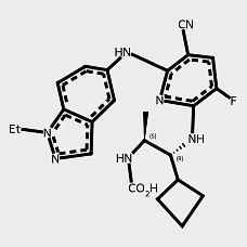 CCn1ncc2cc(Nc3nc(N[C@H](C4CCC4)[C@H](C)NC(=O)O)c(F)cc3C#N)ccc21